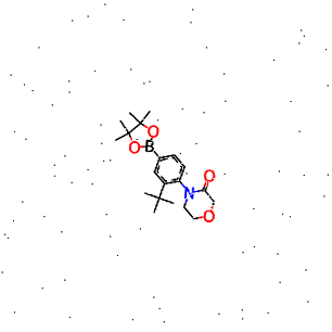 CC(C)(C)c1cc(B2OC(C)(C)C(C)(C)O2)ccc1N1CCOCC1=O